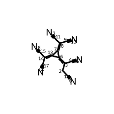 N#CCC(C#N)=C1C(=C(C#N)C#N)C1=C(C#N)C#N